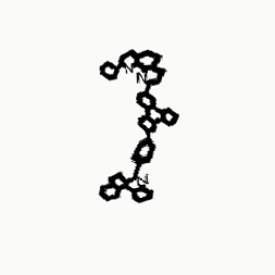 c1ccc(-c2ccc3ccc4ccc(-c5ccc6c7ccc(-c8ccc(-c9nc%10ccccc%10c%10c9ccc9ccccc9%10)cc8)cc7c7ccccc7c6c5)nc4c3n2)cc1